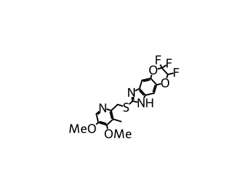 COc1cnc(CSc2nc3cc4c(cc3[nH]2)OC(F)C(F)(F)O4)c(C)c1OC